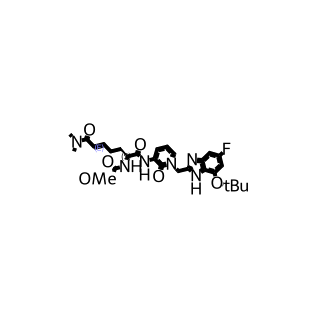 COC(=O)N[C@@H](CC/C=C/C(=O)N(C)C)C(=O)Nc1cccn(Cc2nc3cc(F)cc(OC(C)(C)C)c3[nH]2)c1=O